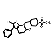 [CH2]Cc1sc2c(ccc(=O)n2CC2CCN(S(C)(=O)=O)CC2)c1-c1ccccc1